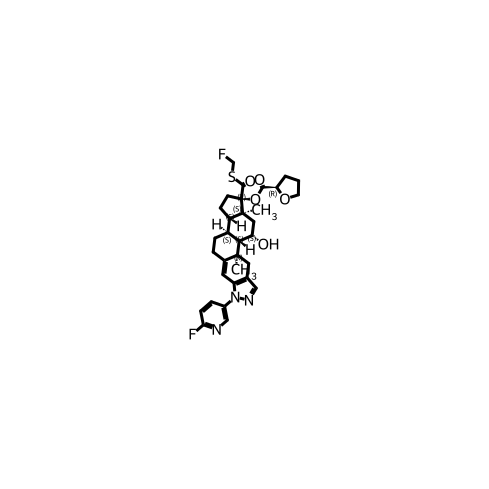 C[C@]12Cc3cnn(-c4ccc(F)nc4)c3C=C1CC[C@@H]1[C@@H]2[C@@H](O)C[C@@]2(C)[C@H]1CC[C@]2(OC(=O)[C@H]1CCCO1)C(=O)SCF